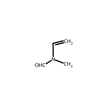 C=CN(C)[C]=O